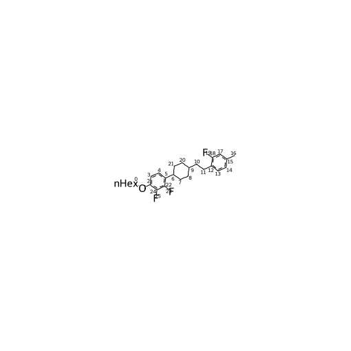 CCCCCCOc1ccc(C2CCC(CCc3ccc(C)cc3F)CC2)c(F)c1F